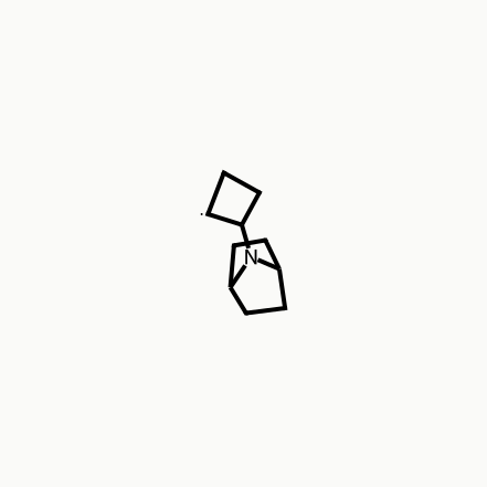 [CH]1CCC1N1C2CCC1CC2